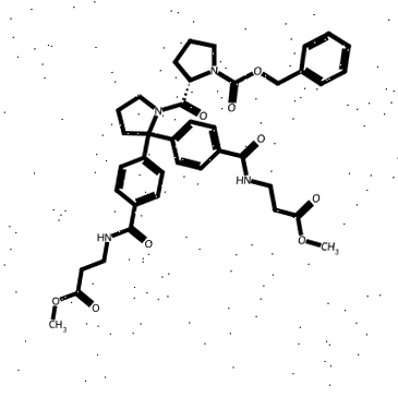 COC(=O)CCNC(=O)c1ccc(C2(c3ccc(C(=O)NCCC(=O)OC)cc3)CCCN2C(=O)[C@@H]2CCCN2C(=O)OCc2ccccc2)cc1